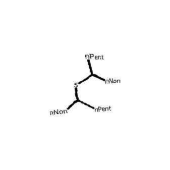 CCCCCCCCCC(CCCCC)SC(CCCCC)CCCCCCCCC